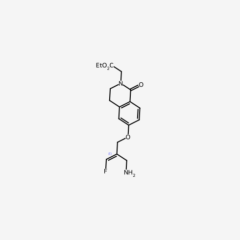 CCOC(=O)CN1CCc2cc(OC/C(=C/F)CN)ccc2C1=O